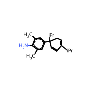 Cc1cc(C2(C(C)C)C=CC(C(C)C)=CC2)cc(C)c1N